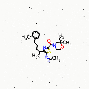 C=C(CCCc1ccccc1C)c1nc(C(=O)N2CCOC(C)(C)C2)sc1/N=C\C